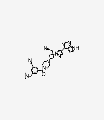 CN(C)Cc1cc(C#N)cc(C(=O)N2CCN(C3CC(CC#N)(n4cc(-c5ncnc6[nH]ccc56)cn4)C3)CC2)c1